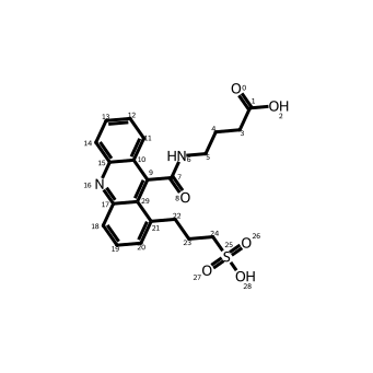 O=C(O)CCCNC(=O)c1c2ccccc2nc2cccc(CCCS(=O)(=O)O)c12